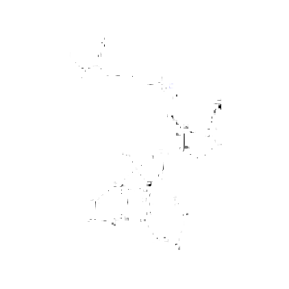 COC(=O)CCC/C=C\C[C@@H]1[C@@H](CO[Si](c2ccccc2)(c2ccccc2)C(C)(C)C)CC[C@@H]1O